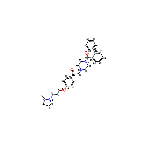 CC1CCCN1CCCOc1ccc(C(=O)CN2CCN(C(=O)c3ccccc3-c3ccccc3)CC2)cc1